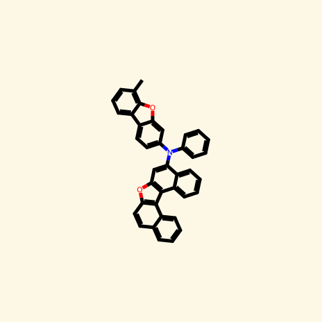 Cc1cccc2c1oc1cc(N(c3ccccc3)c3cc4oc5ccc6ccccc6c5c4c4ccccc34)ccc12